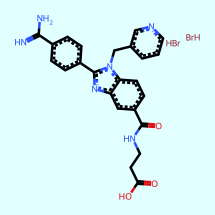 Br.Br.N=C(N)c1ccc(-c2nc3cc(C(=O)NCCC(=O)O)ccc3n2Cc2cccnc2)cc1